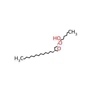 CCCCCCCCCCCCCC[C@@H]1CO[C@@H](COC(O)CCCCC)C1